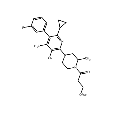 COCCC(=O)N1CCN(c2nc(C3CC3)c(-c3cccc(F)c3)c(C)c2C#N)CC1C